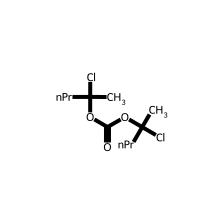 CCCC(C)(Cl)OC(=O)OC(C)(Cl)CCC